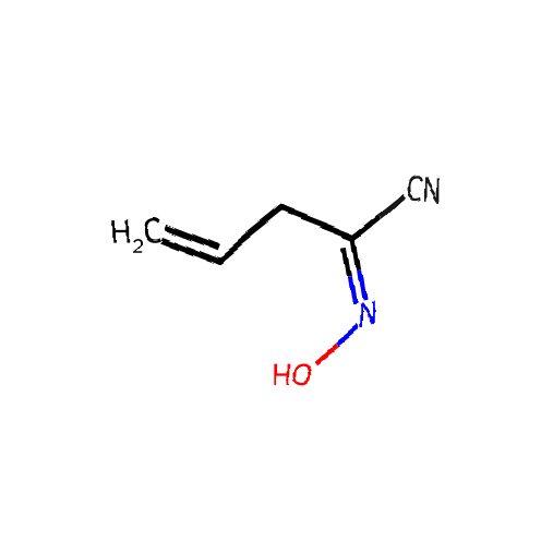 C=CCC(C#N)=NO